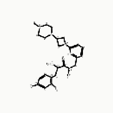 CCN(Cc1cccc(N2CC(N3CCN(C)CC3)C2)n1)C(=O)C(C=O)Cc1ccc(O)cc1F